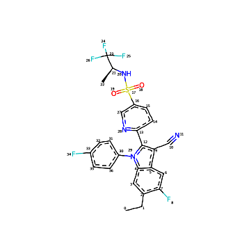 CCc1cc2c(cc1F)c(C#N)c(-c1ccc(S(=O)(=O)N[C@@H](C)C(F)(F)F)cn1)n2-c1ccc(F)cc1